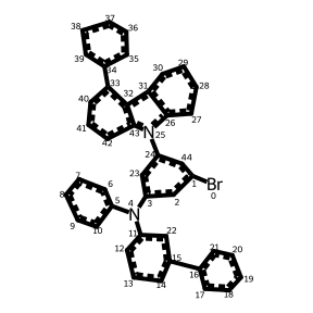 Brc1cc(N(c2ccccc2)c2cccc(-c3ccccc3)c2)cc(-n2c3ccccc3c3c(-c4ccccc4)cccc32)c1